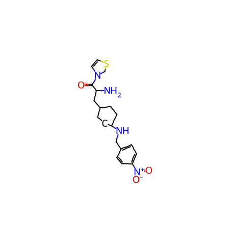 NC(CC1CCC(NCc2ccc([N+](=O)[O-])cc2)CC1)C(=O)N1C=CSC1